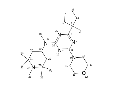 CCC(C)(CC)c1nc(N2CCOCC2)nc(N(C)C2CC(C)(C)N(C)C(C)(C)C2)n1